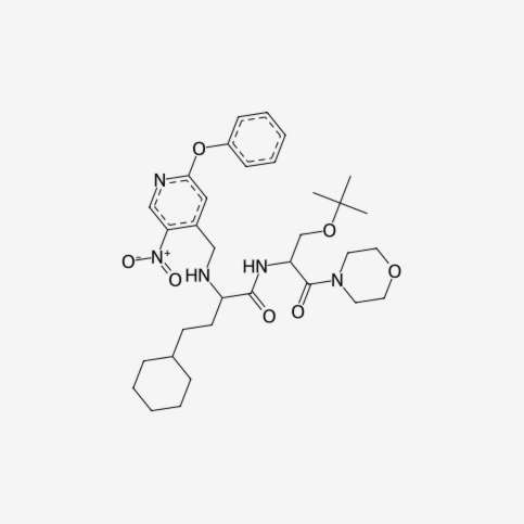 CC(C)(C)OCC(NC(=O)C(CCC1CCCCC1)NCc1cc(Oc2ccccc2)ncc1[N+](=O)[O-])C(=O)N1CCOCC1